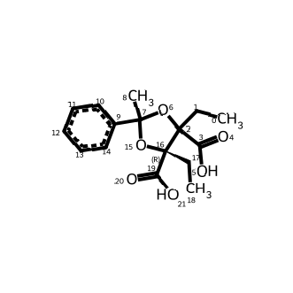 CCC1(C(=O)O)OC(C)(c2ccccc2)O[C@@]1(CC)C(=O)O